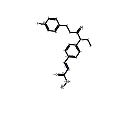 CC[C@H](C(=N)CCc1ccc(F)cc1)c1ccc(/C=C/C(=O)NO)cc1